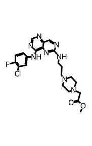 COC(=O)CN1CCN(CCCNc2ncc3ncnc(Nc4ccc(F)c(Cl)c4)c3n2)CC1